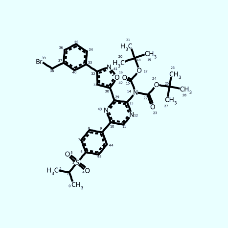 CC(C)S(=O)(=O)c1ccc(-c2cnc(N(C(=O)OC(C)(C)C)C(=O)OC(C)(C)C)c(-c3cc(-c4cccc(CBr)c4)no3)n2)cc1